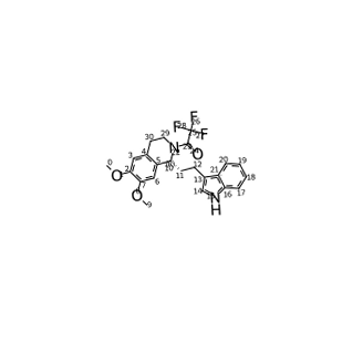 COc1cc2c(cc1OC)[C@@H](CCc1c[nH]c3ccccc13)N(C(=O)C(F)(F)F)CC2